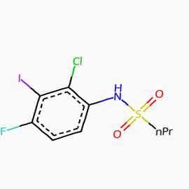 CCCS(=O)(=O)Nc1ccc(F)c(I)c1Cl